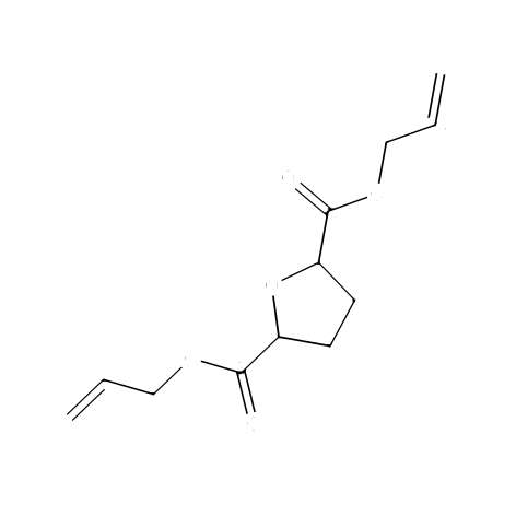 C=CCOC(=O)C1CCC(C(=O)OCC=C)O1